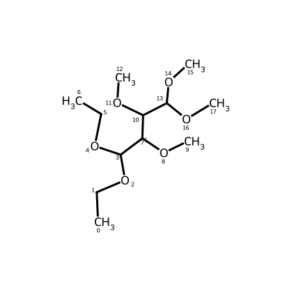 CCOC(OCC)[C](OC)C(OC)C(OC)OC